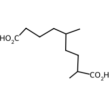 CC(CCCC(=O)O)CCC(C)C(=O)O